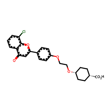 O=c1cc(-c2ccc(OCCO[C@H]3CC[C@@H](C(=O)O)CC3)cc2)oc2c(Cl)cccc12